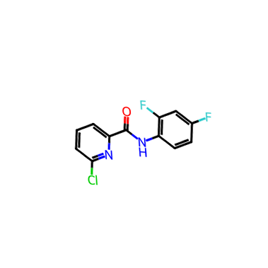 O=C(Nc1ccc(F)cc1F)c1cccc(Cl)n1